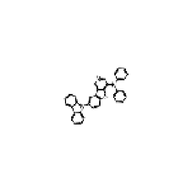 c1ccc(N(c2ccccc2)c2cncc3c2sc2ccc(-n4c5ccccc5c5ccccc54)cc23)cc1